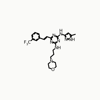 Cc1cc(Nc2nc(/C=C/c3cccc(C(F)(F)F)c3)nc(NCCCN3CCOCC3)n2)n[nH]1